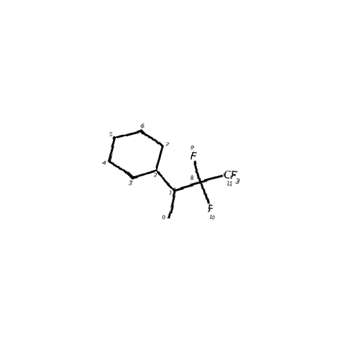 C[C](C1CCCCC1)C(F)(F)C(F)(F)F